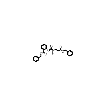 O=C(CCNC(=O)Oc1ccccc1C(=O)OCc1ccccc1)OCc1ccccc1